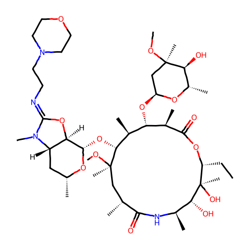 CC[C@H]1OC(=O)[C@H](C)[C@@H](O[C@H]2C[C@@](C)(OC)[C@@H](O)[C@H](C)O2)[C@H](C)[C@@H](O[C@@H]2O[C@H](C)C[C@H]3[C@H]2OC(=NCCN2CCOCC2)N3C)[C@](C)(OC)C[C@@H](C)C(=O)N[C@H](C)[C@@H](O)[C@]1(C)O